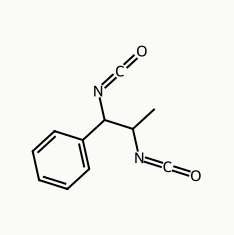 CC(N=C=O)C(N=C=O)c1ccccc1